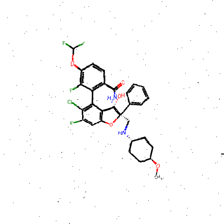 CO[C@H]1CC[C@H](NC[C@]2(c3ccccc3)Oc3cc(F)c(Cl)c(-c4c(C(N)=O)ccc(OC(F)F)c4F)c3[C@@H]2O)CC1